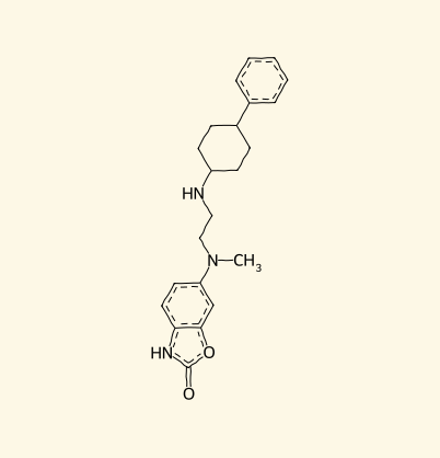 CN(CCNC1CCC(c2ccccc2)CC1)c1ccc2[nH]c(=O)oc2c1